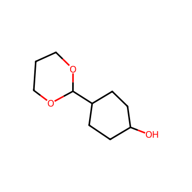 OC1CCC(C2OCCCO2)CC1